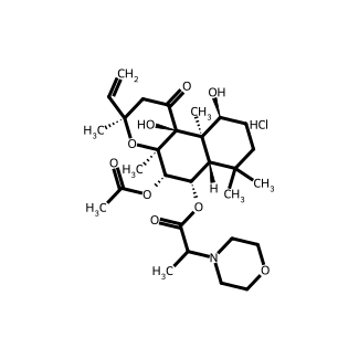 C=C[C@@]1(C)CC(=O)[C@]2(O)[C@@]3(C)[C@@H](O)CCC(C)(C)[C@@H]3[C@H](OC(=O)C(C)N3CCOCC3)[C@H](OC(C)=O)[C@@]2(C)O1.Cl